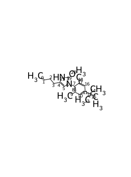 CCCCc1cn(-c2c(C)cc(C(C)(C)C)cc2C)c(=O)[nH]1